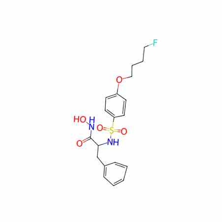 O=C(NO)C(Cc1ccccc1)NS(=O)(=O)c1ccc(OCCCCF)cc1